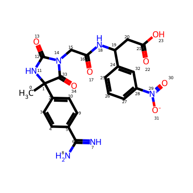 CC1(c2ccc(C(=N)N)cc2)NC(=O)N(CC(=O)NC(CC(=O)O)c2cccc([N+](=O)[O-])c2)C1=O